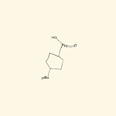 CCCCC1CCC([PH](=O)O)CC1